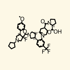 CC[C@H]1CN(C(=O)[C@]2(F)CN(C3CCCC3)C[C@H]2c2ccc(OC)cc2)C[C@@H]1c1ccc(C(F)(F)F)cc1N1CCC(C(=O)N2CCC[C@H]2C(=O)O)CC1